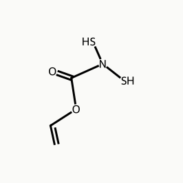 C=COC(=O)N(S)S